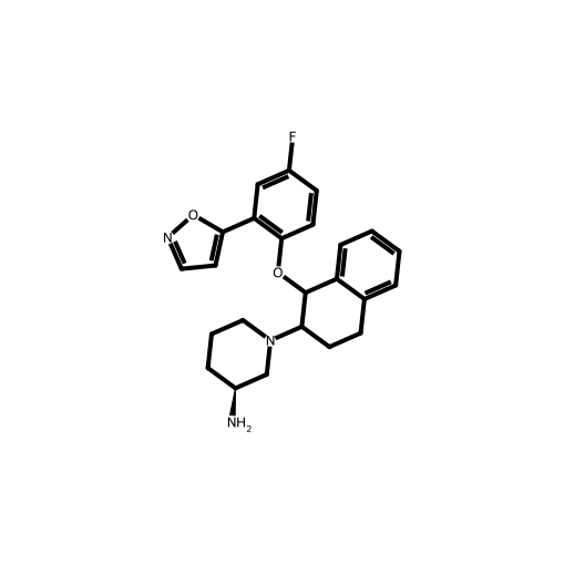 N[C@H]1CCCN(C2CCc3ccccc3C2Oc2ccc(F)cc2-c2ccno2)C1